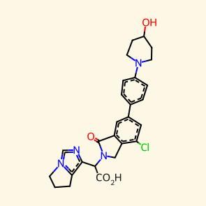 O=C(O)C(c1ncn2c1CCC2)N1Cc2c(Cl)cc(-c3ccc(N4CCC(O)CC4)cc3)cc2C1=O